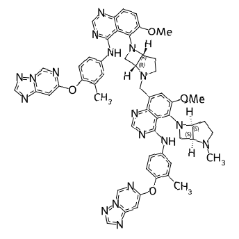 COc1ccc2ncnc(Nc3ccc(Oc4cc5ncnn5cn4)c(C)c3)c2c1N1C[C@@H]2[C@H]1CCN2Cc1cc(OC)c(N2C[C@H]3[C@@H]2CCN3C)c2c(Nc3ccc(Oc4cc5ncnn5cn4)c(C)c3)ncnc12